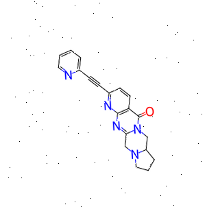 O=c1c2ccc(C#Cc3ccccn3)nc2nc2n1CC1CCCN1C2